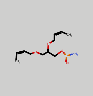 C/C=C\COCC(COP(N)O)OC/C=C\C